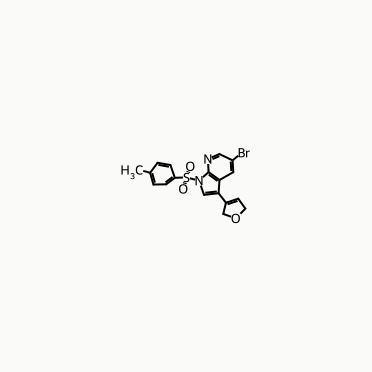 Cc1ccc(S(=O)(=O)n2cc(C3=CCOC3)c3cc(Br)cnc32)cc1